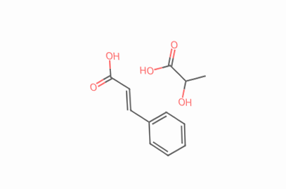 CC(O)C(=O)O.O=C(O)C=Cc1ccccc1